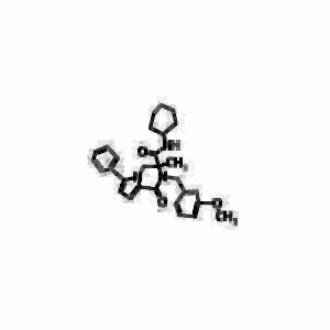 COc1cccc(CN2C(=O)c3ccc(-c4ccccc4)n3CC2(C)C(=O)NC2CCCCC2)c1